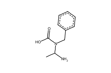 CC(N)N(Cc1ccccc1)C(=O)O